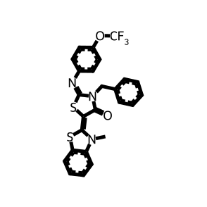 CN1C(=C2SC(=Nc3ccc(OC(F)(F)F)cc3)N(Cc3ccccc3)C2=O)Sc2ccccc21